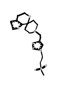 CS(=O)(=O)CCn1cc(CN2CCC3(CC2)OCCc2ccsc23)nn1